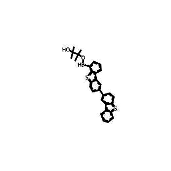 CC(C)(O)C(C)(C)OBc1cccc2c1sc1ccc(-c3ccc4sc5ccccc5c4c3)cc12